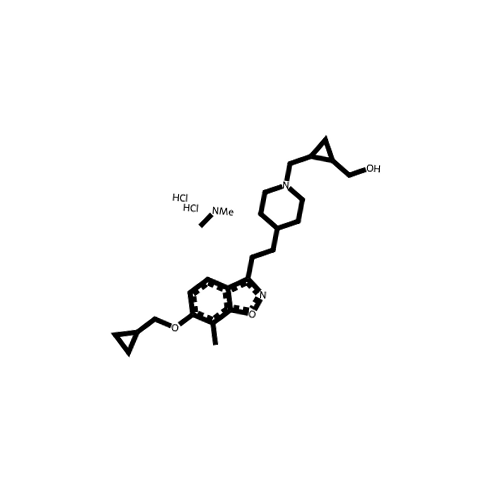 CNC.Cc1c(OCC2CC2)ccc2c(CCC3CCN(CC4CC4CO)CC3)noc12.Cl.Cl